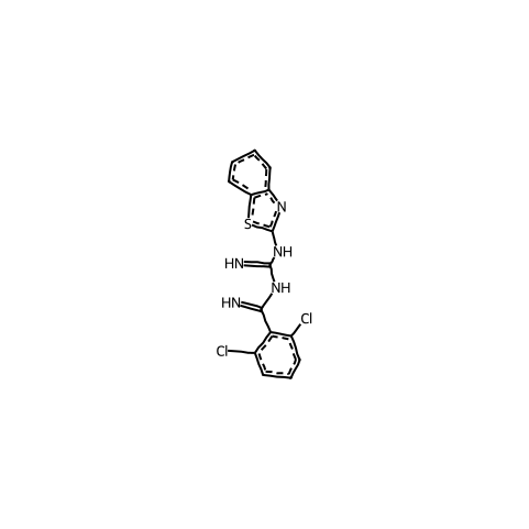 N=C(NC(=N)c1c(Cl)cccc1Cl)Nc1nc2ccccc2s1